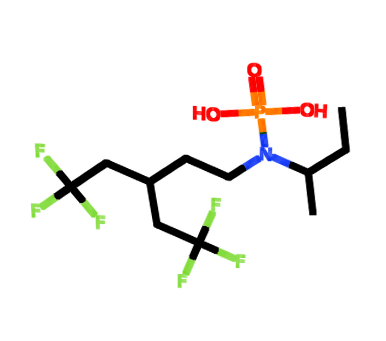 CCC(C)N(CCC(CC(F)(F)F)CC(F)(F)F)P(=O)(O)O